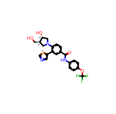 O=C(Nc1ccc(OC(F)(F)F)cc1)c1ccc(N2C[C@@H](CO)[C@H](O)C2)c(-c2cncs2)c1